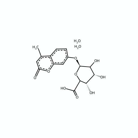 Cc1cc(=O)oc2cc(O[C@@H]3OC(C(=O)O)[C@@H](O)[C@@H](O)C3O)ccc12.O.O